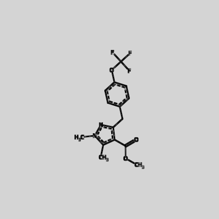 COC(=O)c1c(Cc2ccc(OC(F)(F)F)cc2)nn(C)c1C